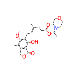 COc1c(C)c2c(c(O)c1C/C=C(\C)CCC(=O)OC(C)N1CCOCC1)C(=O)OC2